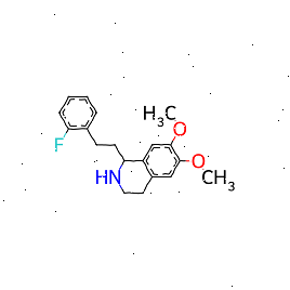 COc1cc2c(cc1OC)C(CCc1ccccc1F)NCC2